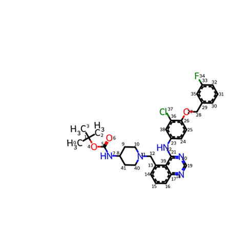 CC(C)(C)OC(=O)NC1CCN(Cc2cccc3ncnc(Nc4ccc(OCc5cccc(F)c5)c(Cl)c4)c23)CC1